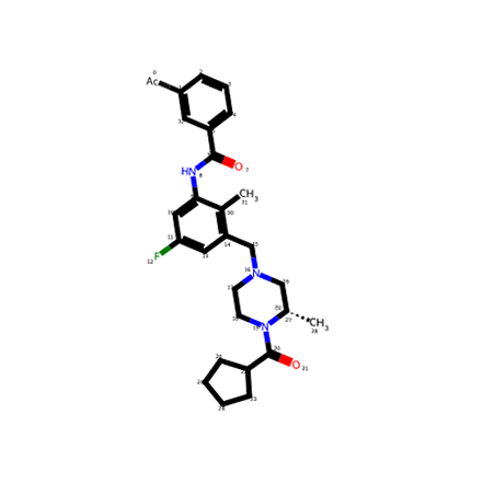 CC(=O)c1cccc(C(=O)Nc2cc(F)cc(CN3CCN(C(=O)C4CCCC4)[C@@H](C)C3)c2C)c1